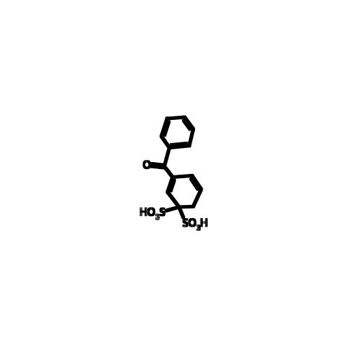 O=C(C1=CC(S(=O)(=O)O)(S(=O)(=O)O)CC=C1)c1ccccc1